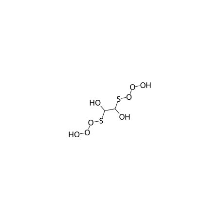 OOOSC(O)C(O)SOOO